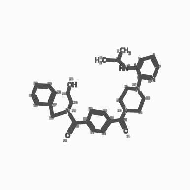 CC(C)Nc1cccnc1N1CCN(C(=O)c2ccc(C(=O)N(CCO)Cc3ccccc3)cc2)CC1